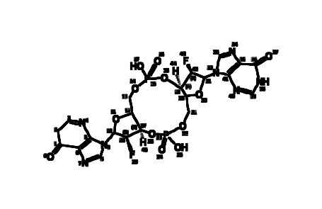 O=C1CC=Nc2c1ncn2C1OC2COP(=O)(O)O[C@@H]3C(COP(=O)(O)O[C@H]2[C@H]1F)OC(n1cnc2c(=O)[nH]cnc21)[C@@H]3F